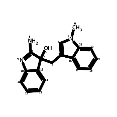 Cn1cc(CC2(O)C(N)=Nc3ccccc32)c2ccccc21